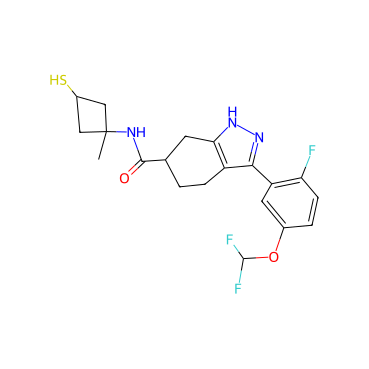 CC1(NC(=O)C2CCc3c(-c4cc(OC(F)F)ccc4F)n[nH]c3C2)CC(S)C1